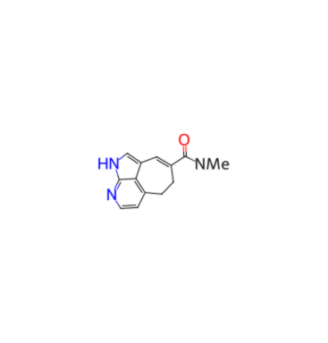 CNC(=O)C1=Cc2c[nH]c3nccc(c23)CC1